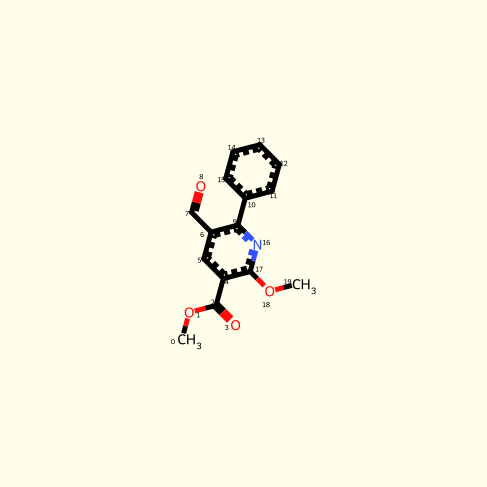 COC(=O)c1cc(C=O)c(-c2ccccc2)nc1OC